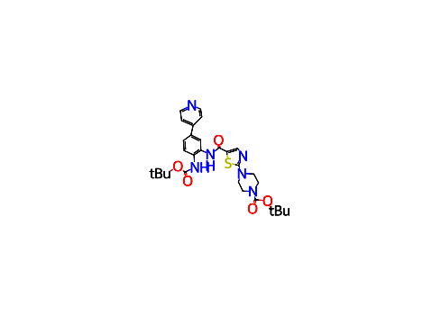 CC(C)(C)OC(=O)Nc1ccc(-c2ccncc2)cc1NC(=O)c1cnc(N2CCN(C(=O)OC(C)(C)C)CC2)s1